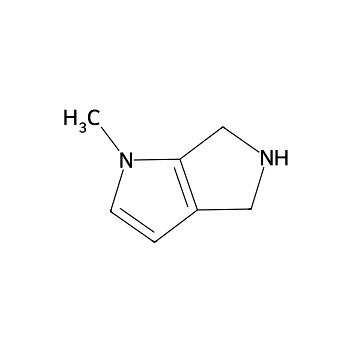 Cn1ccc2c1CNC2